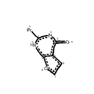 CC(C)c1nc(=O)c2ccoc2[nH]1